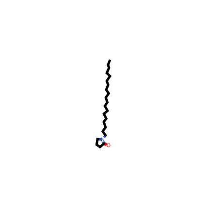 CCCCCCCCCCCCCCCCCCCN1CCCC1=O